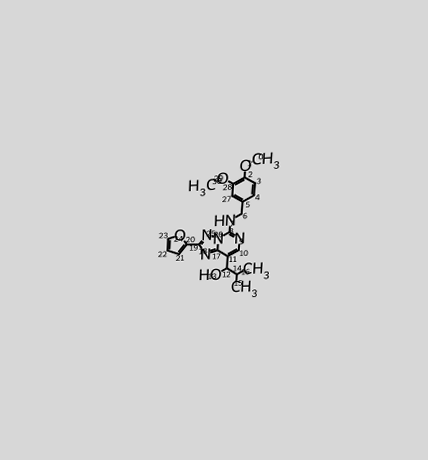 COc1ccc(CNc2ncc(C(O)C(C)C)c3nc(-c4ccco4)nn23)cc1OC